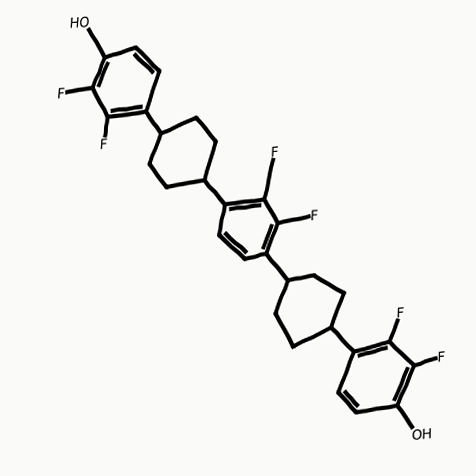 Oc1ccc(C2CCC(c3ccc(C4CCC(c5ccc(O)c(F)c5F)CC4)c(F)c3F)CC2)c(F)c1F